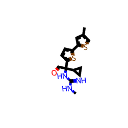 CNC(=N)NC(C=O)(c1ccc(-c2cc(C)cs2)s1)C1CC1